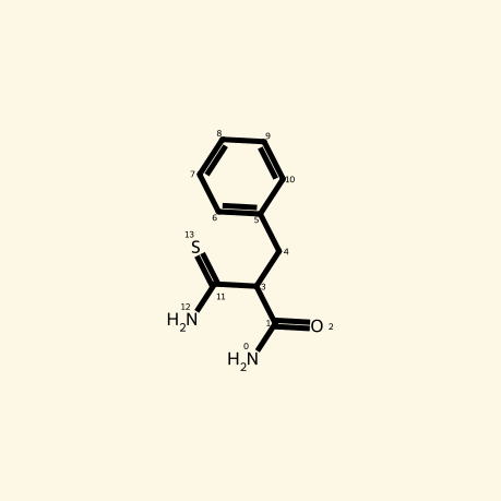 NC(=O)C(Cc1ccccc1)C(N)=S